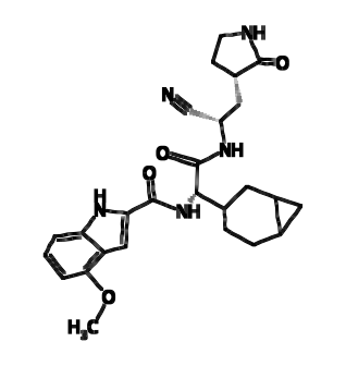 COc1cccc2[nH]c(C(=O)N[C@H](C(=O)N[C@H](C#N)C[C@@H]3CCNC3=O)C3CCC4CC4C3)cc12